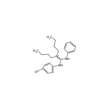 CCCC[N+](CCCC)=C(Nc1ccccc1)Nc1ccc(Cl)cc1